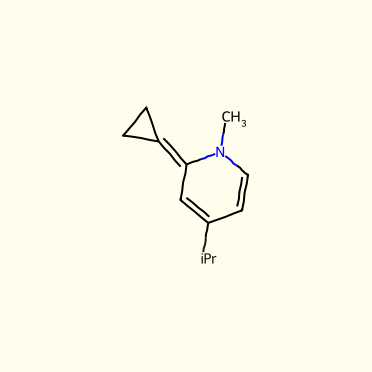 CC(C)C1=CC(=C2CC2)N(C)C=C1